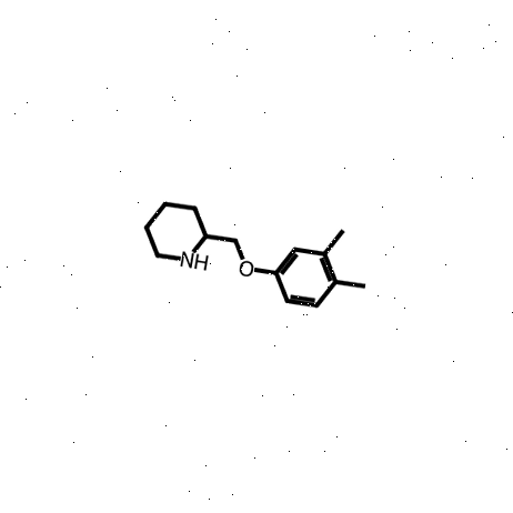 Cc1ccc(OCC2CCCCN2)cc1C